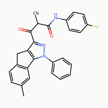 Cc1ccc2c(c1)-c1c(c(C(=O)C(C#N)C(=O)Nc3ccc(F)cc3)nn1-c1ccccc1)C2